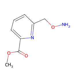 COC(=O)c1cccc(CON)n1